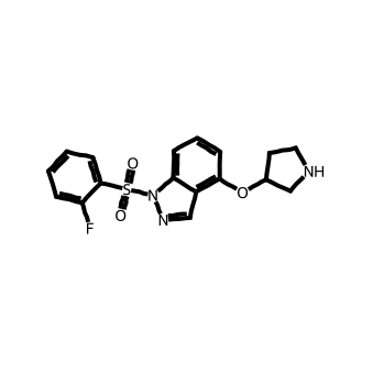 O=S(=O)(c1ccccc1F)n1ncc2c(OC3CCNC3)cccc21